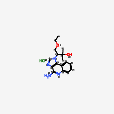 CCOCC(n1cnc2c(N)nc3ccccc3c21)C(C)(C)O.Cl